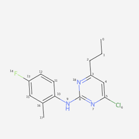 CCCc1cc(Cl)nc(Nc2ccc(F)cc2C)n1